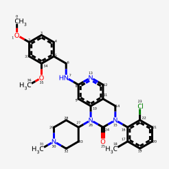 COc1ccc(CNc2cc3c(cn2)CN(c2c(C)cccc2Cl)C(=O)N3C2CCN(C)CC2)c(OC)c1